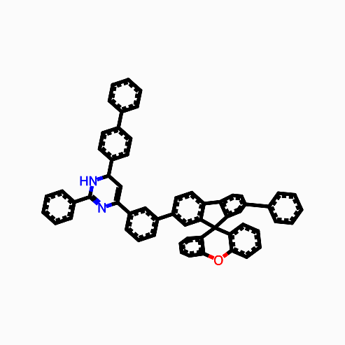 C1=C(c2cccc(-c3ccc4c(c3)C3(c5ccccc5Oc5ccccc53)c3cc(-c5ccccc5)ccc3-4)c2)N=C(c2ccccc2)NC1c1ccc(-c2ccccc2)cc1